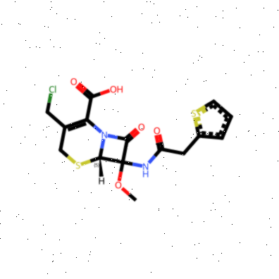 COC1(NC(=O)Cc2cccs2)C(=O)N2C(C(=O)O)=C(CCl)CS[C@H]21